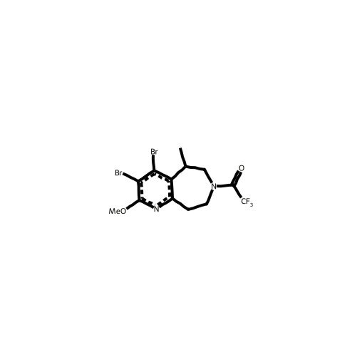 COc1nc2c(c(Br)c1Br)C(C)CN(C(=O)C(F)(F)F)CC2